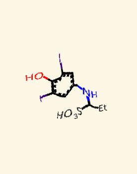 CCC(Nc1cc(I)c(O)c(I)c1)S(=O)(=O)O